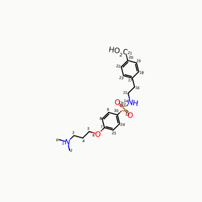 CN(C)CCCOc1ccc(S(=O)(=O)NCCc2ccc(C(=O)O)cc2)cc1